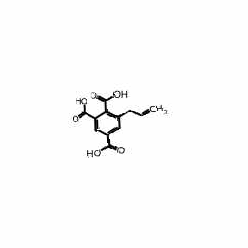 C=CCc1cc(C(=O)O)cc(C(=O)O)c1C(=O)O